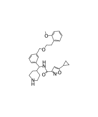 COc1ccccc1CCOCc1cccc(C(NC(=O)c2cc(C3CC3)on2)C2CCNCC2)c1